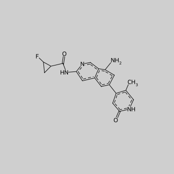 Cc1c[nH]c(=O)cc1-c1cc(N)c2cnc(NC(=O)C3CC3F)cc2c1